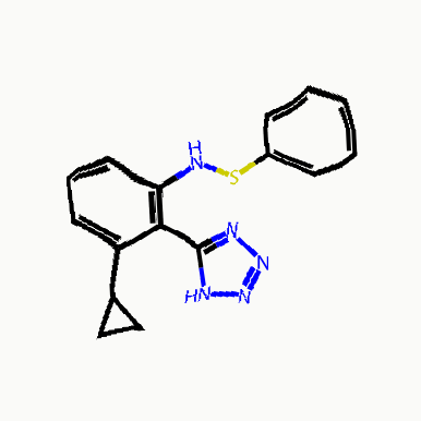 c1ccc(SNc2cccc(C3CC3)c2-c2nnn[nH]2)cc1